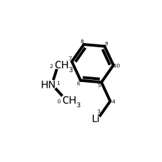 CNC.[Li][CH2]c1ccccc1